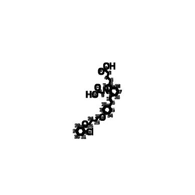 O=C(O)CCCc1cn(CC(=O)O)c2c(C=Cc3ccc(OCCCCOc4ccccc4Cl)cc3)cccc12